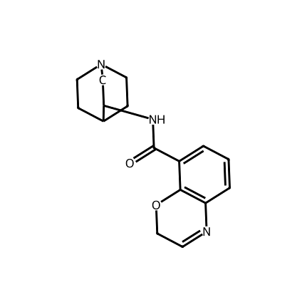 O=C(NC1CN2CCC1CC2)c1cccc2c1OCC=N2